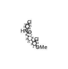 COc1ccc(C2CCC(CC(=O)Nc3ccc(Cl)cc3)CC2)c(Cl)c1